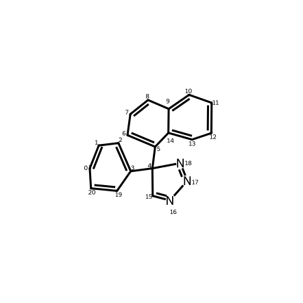 [c]1ccc(C2(c3cccc4ccccc34)C=NN=N2)cc1